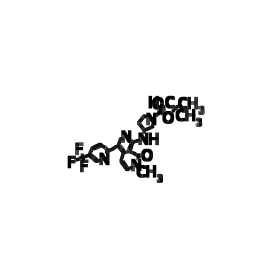 Cn1ccc2c(-c3ccc(C(F)(F)F)cn3)cnc(N[C@H]3CCN(C(=O)OC(C)(C)C)C3)c2c1=O